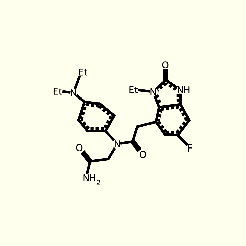 CCN(CC)c1ccc(N(CC(N)=O)C(=O)Cc2cc(F)cc3[nH]c(=O)n(CC)c23)cc1